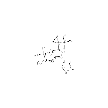 FC(F)(F)C1(c2nc([C@@H]3CCCN3)no2)CC1.O=C(O)C(F)(F)F